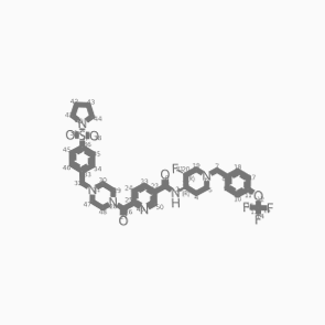 O=C(N[C@@H]1CCN(Cc2ccc(OC(F)(F)F)cc2)C[C@H]1F)c1ccc(C(=O)N2CCN(Cc3ccc(S(=O)(=O)N4CCCC4)cc3)CC2)nc1